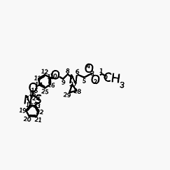 CCOC(=O)CCN(CCOc1ccc(Oc2nc3ccccc3s2)cc1)C1CC1